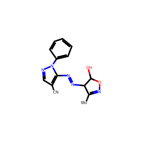 CC(C)(C)C1=NOC(O)C1N=Nc1c(C#N)cnn1-c1ccccc1